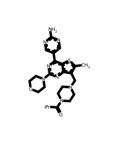 Cc1sc2c(-c3cnc(N)nc3)nc(N3CCOCC3)nc2c1CN1CCN(C(=O)C(C)C)CC1